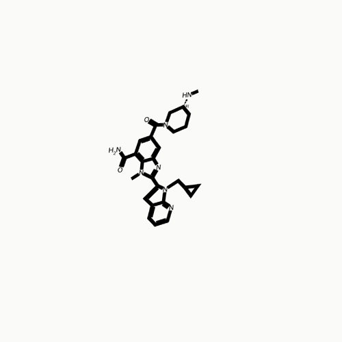 CN[C@@H]1CCCN(C(=O)c2cc(C(N)=O)c3c(c2)nc(-c2cc4cccnc4n2CC2CC2)n3C)C1